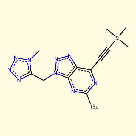 Cn1nnnc1Cn1nnc2c(C#C[Si](C)(C)C)nc(C(C)(C)C)nc21